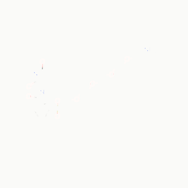 NCCOCCOCCOCCOCCS(=O)(=O)c1cccc2c1CN(C1CCC(=O)NC1=O)C2=O